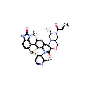 C=CC(=O)N1CC2COc3c(c4cc(F)c(-c5c(C)ccc6[nH]c(=O)n(C)c56)c(F)c4n(-c4c(C)ccnc4C(C)C)c3=O)N2CC1C